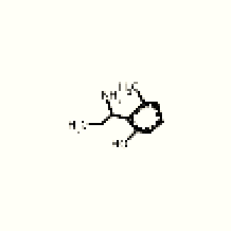 CCC(N)c1c(C)cccc1O